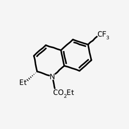 CCOC(=O)N1c2ccc(C(F)(F)F)cc2C=C[C@H]1CC